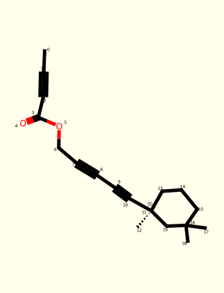 CC#CC(=O)OCC#CC#C[C@@]1(C)CCCC(C)(C)C1